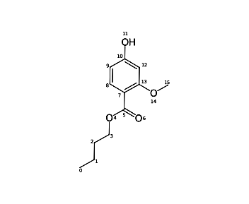 CCCCOC(=O)c1ccc(O)cc1OC